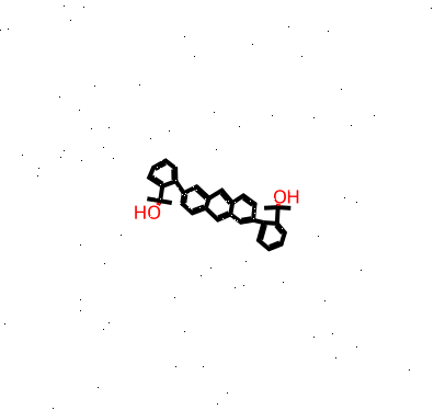 CC(C)(O)c1ccccc1-c1ccc2cc3cc(-c4ccccc4C(C)(C)O)ccc3cc2c1